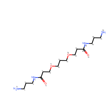 NCCCNC(=O)CCOCCCOCCC(=O)NCCCN